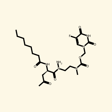 CCCCCCCC(=O)N[C@H](CC(C)=O)C(=O)N(N)CCN(C)C(=O)OCn1cc(F)c(=O)[nH]c1=O